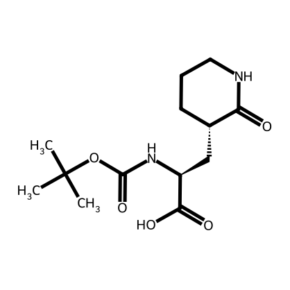 CC(C)(C)OC(=O)N[C@@H](C[C@@H]1CCCNC1=O)C(=O)O